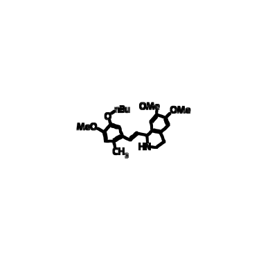 CCCCOc1cc(/C=C/C2NCCc3cc(OC)c(OC)cc32)c(C)cc1OC